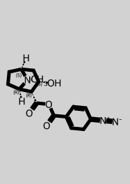 CN1[C@H]2CC[C@@H]1[C@@H](C(=O)OC(=O)C1=CCC(=[N+]=[N-])C=C1)[C@@H](O)C2